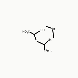 CCCCCC(CC)SC(O)C(=O)O.[CH3][Sn][CH3]